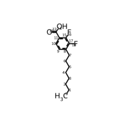 CCCCCCCCc1ccc(C(=O)O)c(F)c1F